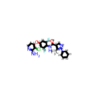 Nc1nccc(Oc2cc(F)c(NC(=O)c3cnn(-c4ccccc4)c3C(F)(F)F)c(F)c2)c1Cl